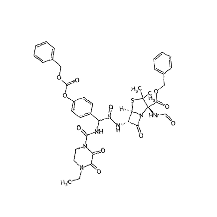 CCN1CCN(C(=O)NC(C(=O)N[C@H]2C(=O)N3[C@@H]2SC(C)(C)[C@]3(NC=O)C(=O)OCc2ccccc2)c2ccc(OC(=O)OCc3ccccc3)cc2)C(=O)C1=O